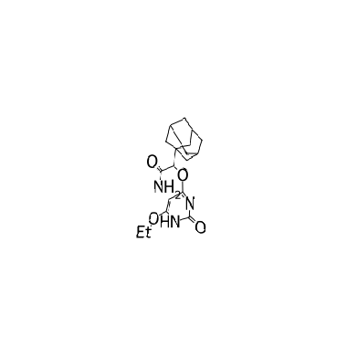 CCOc1cc(OC(C(N)=O)C23CC4CC(CC(C4)C2)C3)nc(=O)[nH]1